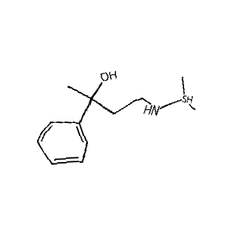 C[SH](C)NCCC(C)(O)c1ccccc1